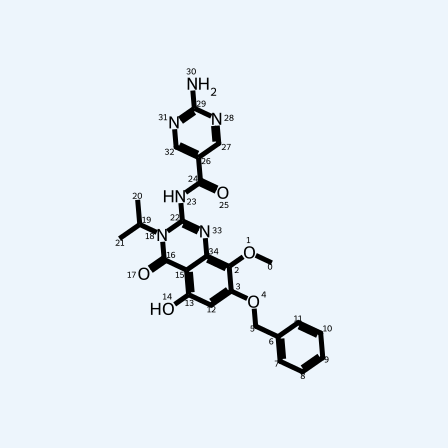 COc1c(OCc2ccccc2)cc(O)c2c(=O)n(C(C)C)c(NC(=O)c3cnc(N)nc3)nc12